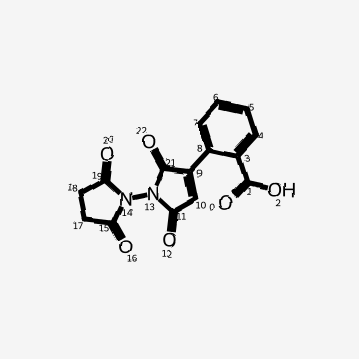 O=C(O)c1ccccc1C1=CC(=O)N(N2C(=O)CCC2=O)C1=O